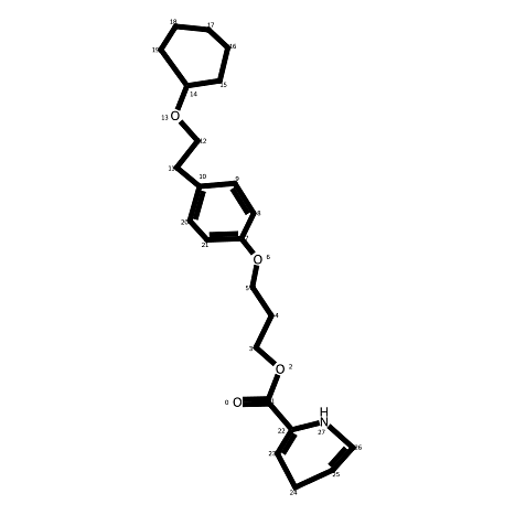 O=C(OCCCOc1ccc(CCOC2CCCCC2)cc1)C1=CCC=CN1